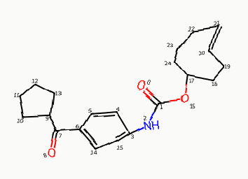 O=C(Nc1ccc(C(=O)C2CCCC2)cc1)OC1CC/C=C/CCC1